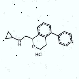 Cl.c1cc(-c2ccncc2)c2c(c1)[C@H](CNC1CC1)OCC2